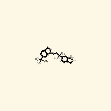 CC(C)(C)c1ccc2cnn(CCC(C)(C)c3ccc4cn[nH]c4c3)c2c1